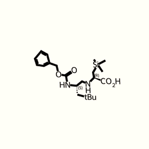 CC(C)(C)C[C@@H](CN[C@@H](C[Si](C)(C)C)C(=O)O)NC(=O)OCc1ccccc1